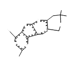 Cc1nc(N)c2sc3nc4c(cc3c2n1)COC(C)(C)C4